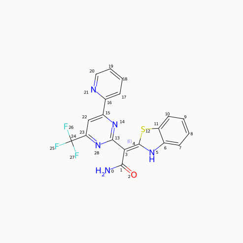 NC(=O)/C(=C1\Nc2ccccc2S1)c1nc(-c2ccccn2)cc(C(F)(F)F)n1